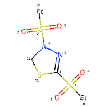 CCS(=O)(=O)C1=NN(S(=O)(=O)CC)CS1